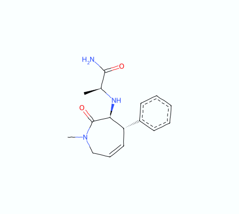 C[C@H](N[C@@H]1C(=O)N(C)CC=C[C@H]1c1ccccc1)C(N)=O